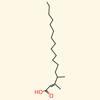 CCCCCCCCCCCCCC(C)/C(C)=C/C(=O)O